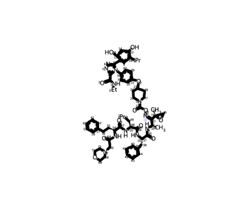 CCNC(=O)c1nnc(-c2cc(C(C)C)c(O)cc2O)n1-c1ccc(OC2CCN(C(=O)O/N=C(/[C@H](C)NC(=O)[C@H](Cc3ccccc3)NC(=O)[C@H](CC(C)C)NC(=O)[C@H](CCc3ccccc3)NC(=O)CN3CCOCC3)[C@@]3(C)CO3)CC2)cc1